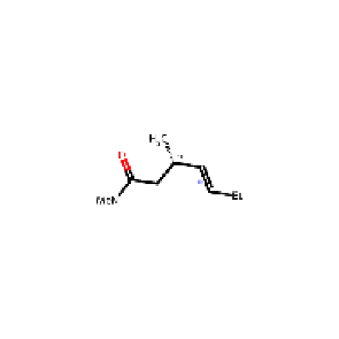 CC/C=C/[C@@H](C)CC(=O)NC